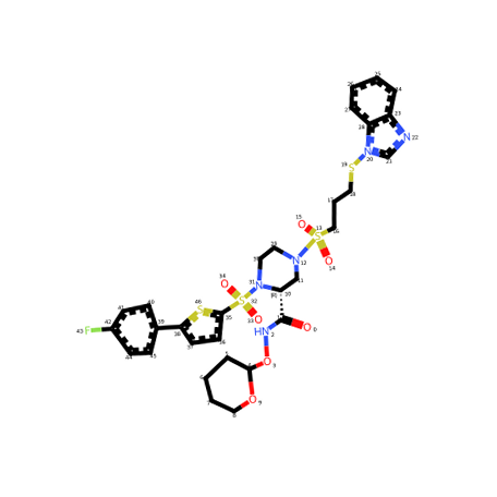 O=C(NOC1CCCCO1)[C@H]1CN(S(=O)(=O)CCCSn2cnc3ccccc32)CCN1S(=O)(=O)c1ccc(-c2ccc(F)cc2)s1